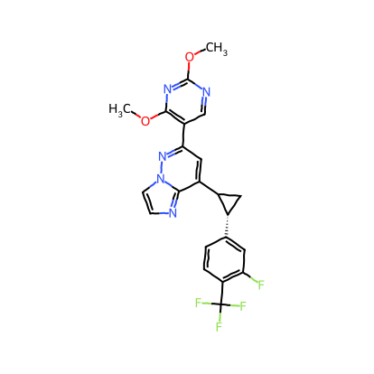 COc1ncc(-c2cc(C3C[C@@H]3c3ccc(C(F)(F)F)c(F)c3)c3nccn3n2)c(OC)n1